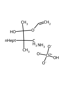 C=COC(C)(O)C(C)(C)CCCCCCC.N.[O-][Cl+3]([O-])([O-])O